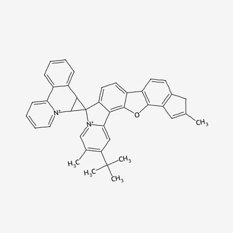 CC1=Cc2c(ccc3c2oc2c4c(ccc23)C2(C3c5ccccc5-c5cccc[n+]5C32)[n+]2cc(C)c(C(C)(C)C)cc2-4)C1